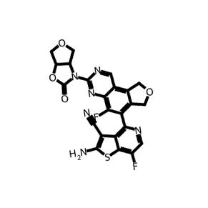 N#Cc1c(N)sc2c(F)cnc(-c3c4c(c5cnc(N6C(=O)OC7COCC76)nc5c3F)COC4)c12